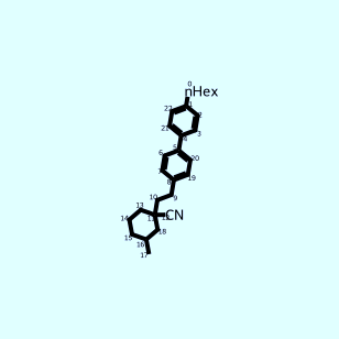 CCCCCCc1ccc(-c2ccc(CCC3(C#N)CCCC(C)C3)cc2)cc1